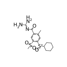 Cc1cc([S+]([O-])C2CCCCC2)c(S(C)(=O)=O)cc1C(=O)N=C(N)N